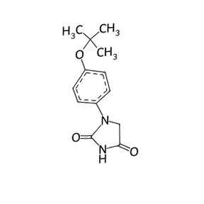 CC(C)(C)Oc1ccc(N2CC(=O)NC2=O)cc1